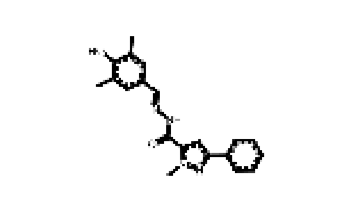 Cc1cc(/C=N/NC(=O)c2cc(-c3ccccc3)nn2C)cc(C)c1O